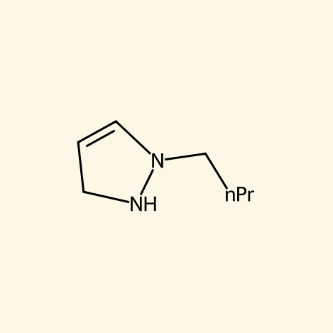 [CH2]CCCN1C=CCN1